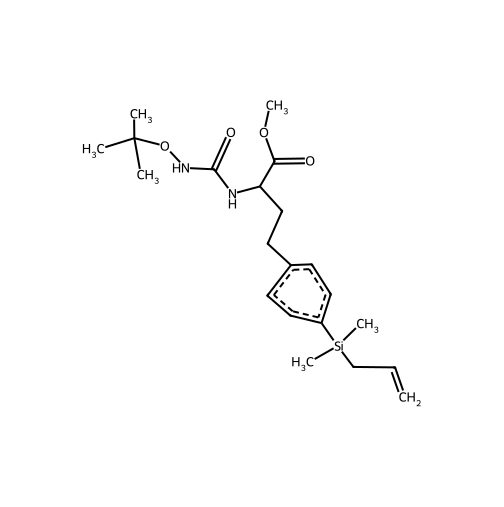 C=CC[Si](C)(C)c1ccc(CCC(NC(=O)NOC(C)(C)C)C(=O)OC)cc1